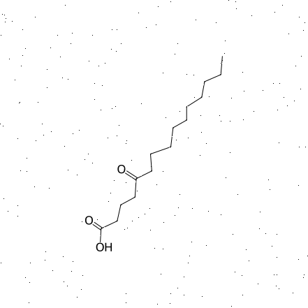 CCCCCCCCCCC(=O)CCCC(=O)O